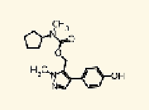 CN(C(=O)OCc1c(-c2ccc(O)cc2)cnn1C)C1CCCC1